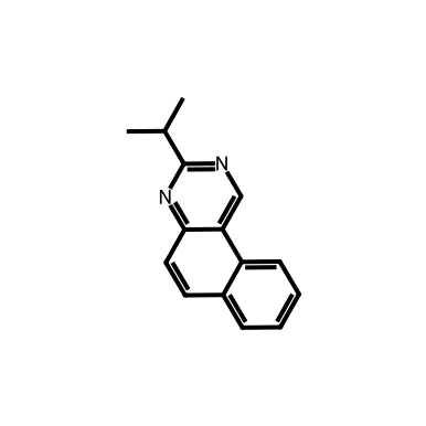 CC(C)c1ncc2c(ccc3ccccc32)n1